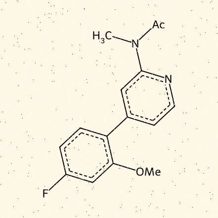 COc1cc(F)ccc1-c1ccnc(N(C)C(C)=O)c1